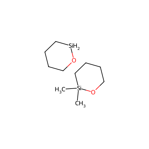 C1CC[SiH2]OC1.C[Si]1(C)CCCCO1